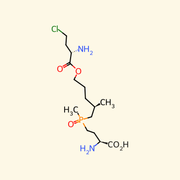 C[C@H](CCCOC(=O)[C@@H](N)CCCl)CP(C)(=O)CC[C@H](N)C(=O)O